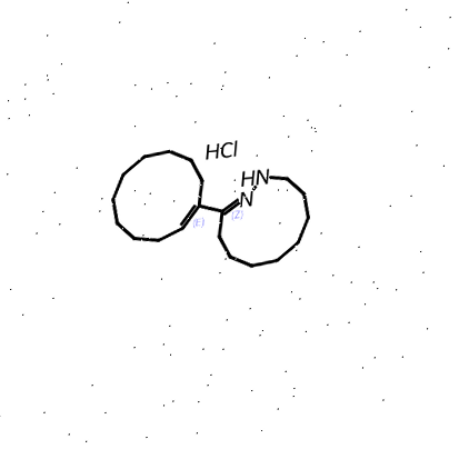 C1=C(/C2=N\NCCCCCCCC2)CCCCCCCCC/1.Cl